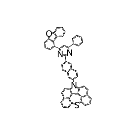 c1ccc(-c2cc(-c3cccc4oc5ccccc5c34)nc(-c3ccc4cc(-n5c6ccc7cccc8sc9cccc%10ccc5c(c%109)c6c78)ccc4c3)n2)cc1